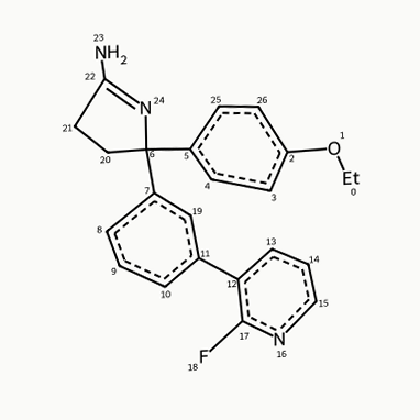 CCOc1ccc(C2(c3cccc(-c4cccnc4F)c3)CCC(N)=N2)cc1